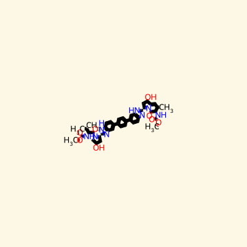 COC(=O)N[C@H](C(=O)N1C[C@H](O)C[C@H]1c1nc2cc(-c3ccc(-c4ccc5nc([C@@H]6C[C@@H](O)C7=CC(C)[C@H](NC(=O)OC)C(=O)N76)[nH]c5c4)cc3)ccc2[nH]1)C(C)C